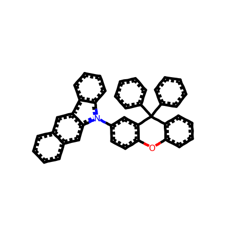 c1ccc(C2(c3ccccc3)c3ccccc3Oc3ccc(-n4c5ccccc5c5cc6ccccc6cc54)cc32)cc1